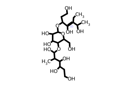 CC/C(=C(/O)C(CCO)OC1OC(CO)C(OC(O)C(C)C(O)C(O)CCO)C(O)C1O)C(C)O